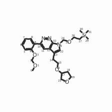 COCOc1ccccc1-c1cc2c(CCOC3CCOC3)cn(COCC[Si](C)(C)C)c2nn1